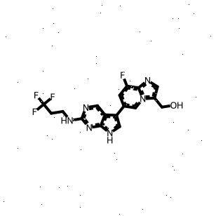 OCc1cnc2c(F)cc(-c3c[nH]c4nc(NCCC(F)(F)F)ncc34)cn12